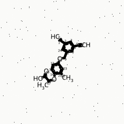 C#Cc1cc(C#C)cc(COc2ccc(OC(C)C(=O)O)c(C)c2)c1